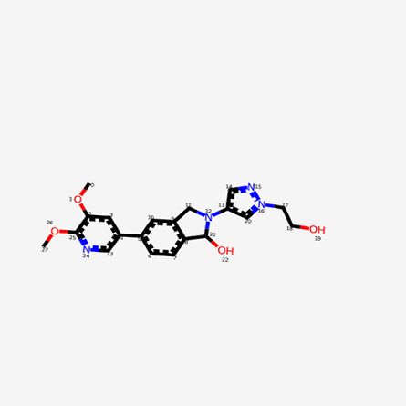 COc1cc(-c2ccc3c(c2)CN(c2cnn(CCO)c2)C3O)cnc1OC